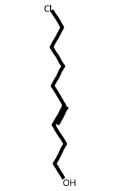 OCC/C=C/CCCCCl